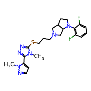 Cn1nccc1-c1nnc(SCCCN2CC3CCN(c4c(F)cccc4F)C3C2)n1C